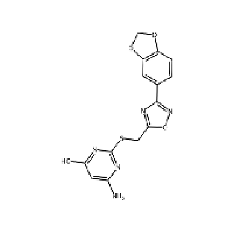 Nc1cc(O)nc(SCc2nc(-c3ccc4c(c3)OCO4)no2)n1